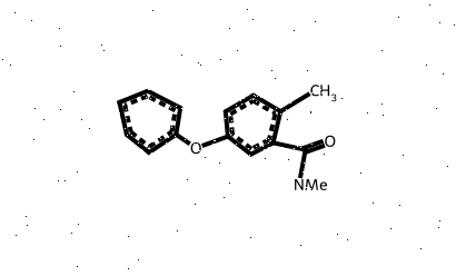 CNC(=O)c1cc(Oc2ccccc2)ccc1C